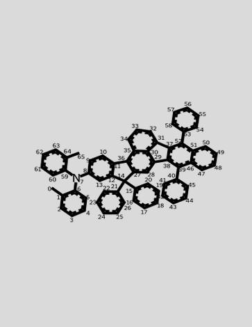 Cc1ccccc1N(c1ccc2c(c1)C(c1ccccc1)(c1ccccc1)c1cc3c4c(cccc4c1-2)-c1c-3c(-c2ccccc2)c2ccccc2c1-c1ccccc1)c1ccccc1C